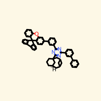 c1ccc(-c2cccc(-c3nc(-c4cccc(-c5ccc6c(c5)Oc5ccccc5C65c6ccccc6-c6ccccc65)c4)nc(C45CCC[C@@H](CC6CC(C6)C4)C5)n3)c2)cc1